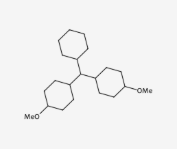 COC1CCC(C(C2CCCCC2)C2CCC(OC)CC2)CC1